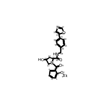 CCOc1ccccc1C(=O)N1CC(O)CC1C(=O)NCc1ccc(-c2cnco2)cc1